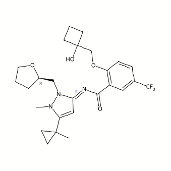 Cn1c(C2(C)CC2)c/c(=N\C(=O)c2cc(C(F)(F)F)ccc2OCC2(O)CCC2)n1C[C@H]1CCCO1